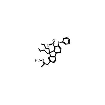 CCCCC1(CCCC)c2cc(CC(C)=NO)ccc2-c2ccc(Sc3ccccc3)c([N+](=O)[O-])c21